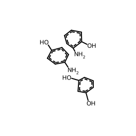 Nc1ccc(O)cc1.Nc1ccccc1O.Oc1cccc(O)c1